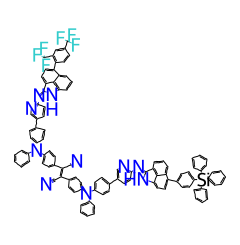 N#C/C(=C(/C#N)c1ccc(N(c2ccccc2)c2ccc(-c3ccc(/N=C4\Nc5cccc6c(-c7ccc(C(F)(F)F)cc7C(F)(F)F)ccc4c56)nc3)cc2)cc1)c1ccc(N(c2ccccc2)c2ccc(-c3ccc(/N=C4\Nc5ccc(-c6ccc([Si](c7ccccc7)(c7ccccc7)c7ccccc7)cc6)c6cccc4c56)nc3)cc2)cc1